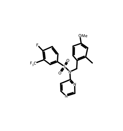 COc1ccc(CN(c2ccncn2)S(=O)(=O)c2ccc(F)c(C(F)(F)F)c2)c(C)c1